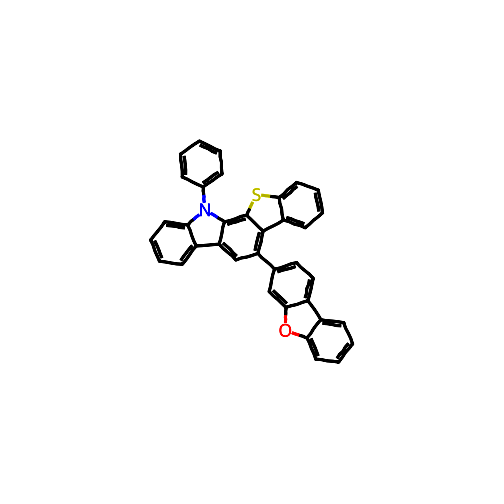 c1ccc(-n2c3ccccc3c3cc(-c4ccc5c(c4)oc4ccccc45)c4c5ccccc5sc4c32)cc1